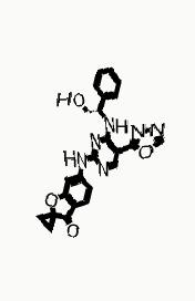 O=C1c2ccc(Nc3ncc(-c4nnco4)c(N[C@H](CO)c4ccccc4)n3)cc2OC12CC2